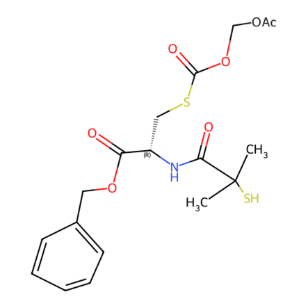 CC(=O)OCOC(=O)SC[C@H](NC(=O)C(C)(C)S)C(=O)OCc1ccccc1